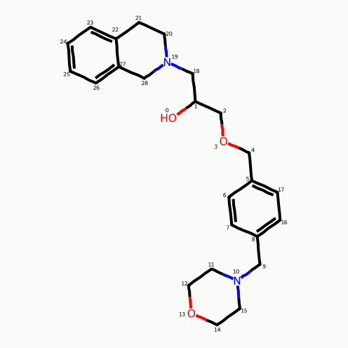 OC(COCc1ccc(CN2CCOCC2)cc1)CN1CCc2ccccc2C1